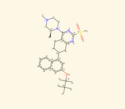 C[C@H]1CN(C)CCN1c1nc(S(C)(=O)=O)nc2c1CCC(c1cc(O[Si](C)(C)C(C)(C)C)cc3ccccc13)C2